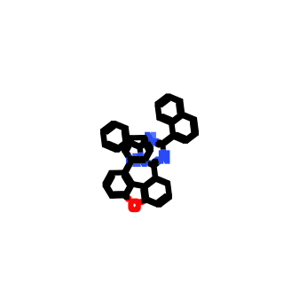 C1=Cc2oc3cccc(-c4ccccc4)c3c2C(C2=NC(c3cccc4ccccc34)=NC(c3ccccc3)N2)C1